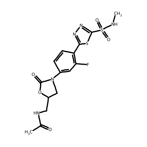 CNS(=O)(=O)c1nnc(-c2ccc(N3CC(CNC(C)=O)OC3=O)cc2F)s1